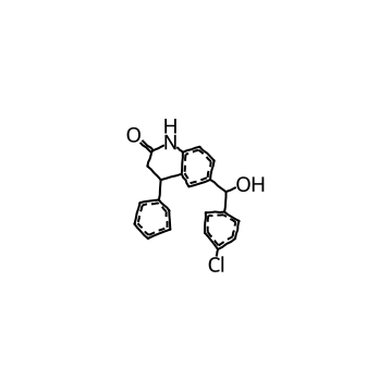 O=C1CC(c2ccccc2)c2cc(C(O)c3ccc(Cl)cc3)ccc2N1